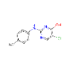 N#Cc1ccc(Nc2ncc(Cl)c(O)n2)cc1